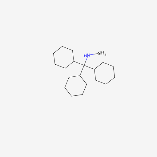 [SiH3]NC(C1CCCCC1)(C1CCCCC1)C1CCCCC1